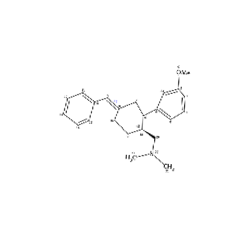 COc1cccc(C2C/C(=C/c3ccccc3)CC[C@@H]2CN(C)C)c1